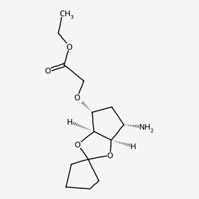 CCOC(=O)CO[C@@H]1C[C@H](N)[C@H]2OC3(CCCC3)O[C@H]21